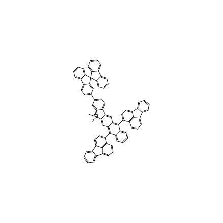 C[Si]1(C)c2cc(-c3ccc4c(c3)C3(c5ccccc5-c5ccccc53)c3ccccc3-4)ccc2-c2cc3c(-c4ccc5c6c(cccc46)-c4ccccc4-5)c4ccccc4c(-c4ccc5c6c(cccc46)-c4ccccc4-5)c3cc21